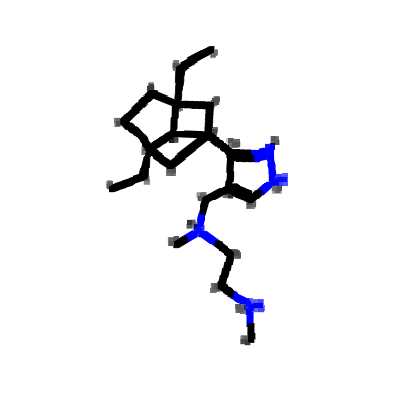 CC[C@]12CC[C@]3(CC)CC(c4n[nH]cc4CN(C)CCNC)(C1)C23